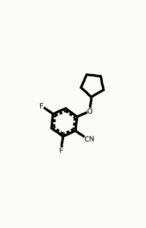 N#Cc1c(F)cc(F)cc1OC1CCCC1